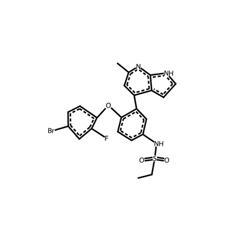 CCS(=O)(=O)Nc1ccc(Oc2ccc(Br)cc2F)c(-c2cc(C)nc3[nH]ccc23)c1